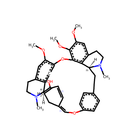 C=C(O)/C=C\C1=C/Oc2ccc(cc2)C[C@H]2c3c(cc(OC)c(OC)c3Oc3cc4c(cc3OC)CCN(C)[C@@H]4C1)CCN2C